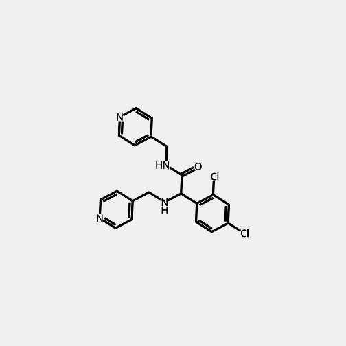 O=C(NCc1ccncc1)C(NCc1ccncc1)c1ccc(Cl)cc1Cl